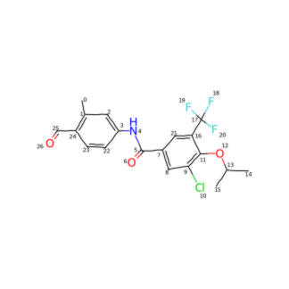 Cc1cc(NC(=O)c2cc(Cl)c(OC(C)C)c(C(F)(F)F)c2)ccc1C=O